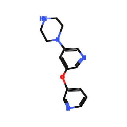 c1cncc(Oc2cncc(N3CCNCC3)c2)c1